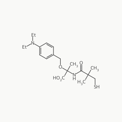 CCN(CC)c1ccc(COC(C)(NC(=O)C(C)(C)CS)C(=O)O)cc1